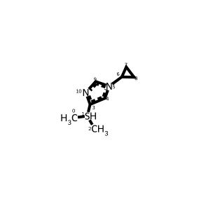 C[SH](C)c1cn(C2CC2)cn1